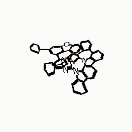 c1ccc(-c2cc(-c3ccccc3)c3c(c2)oc2cccc(-c4nc(-c5ccccc5)nc(-n5c6ccccc6c6ccc7c8cccc9c8n(c7c65)-c5ccccc5-c5ccccc5-9)n4)c23)cc1